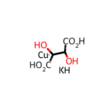 O=C(O)C(O)C(O)C(=O)O.[Cu].[KH]